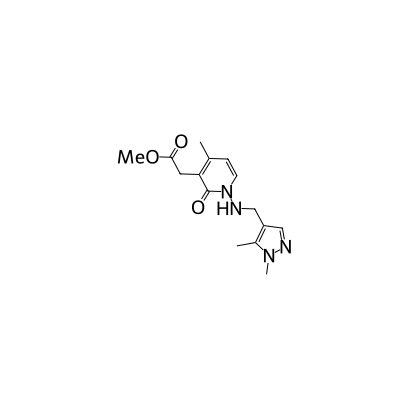 COC(=O)Cc1c(C)ccn(NCc2cnn(C)c2C)c1=O